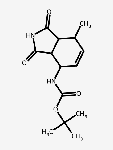 CC1C=CC(NC(=O)OC(C)(C)C)C2C(=O)NC(=O)C12